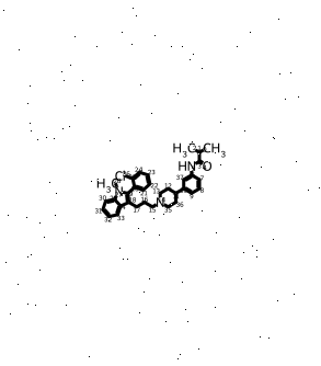 CC(C)C(=O)Nc1cccc(C2CCN(CCCc3c(-c4ccccc4Cl)n(C)c4ccccc34)CC2)c1